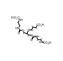 CCOC(=O)NCCNC(=O)OCC(COC(=O)NCCNC(=O)OCC)OCCCC(=O)O